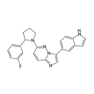 Fc1cccc(C2CCCN2c2ccc3ncc(-c4ccc5[nH]ccc5c4)n3n2)c1